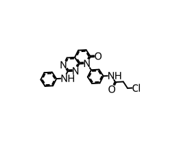 O=C(CCCl)Nc1cccc(-n2c(=O)ccc3cnc(Nc4ccccc4)nc32)c1